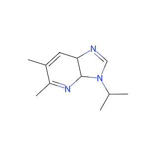 CC1=CC2N=CN(C(C)C)C2N=C1C